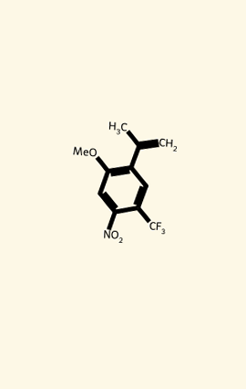 C=C(C)c1cc(C(F)(F)F)c([N+](=O)[O-])cc1OC